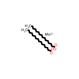 CCCCCCCCCCCCCCCC(=O)[O-].CCCCCCCCCCCCCCCC(=O)[O-].[Mo+2]